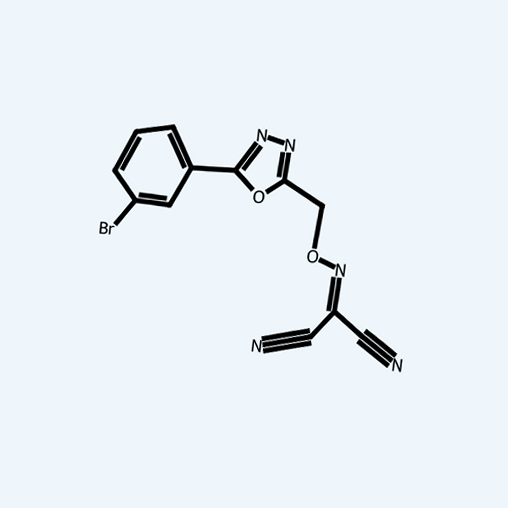 N#CC(C#N)=NOCc1nnc(-c2cccc(Br)c2)o1